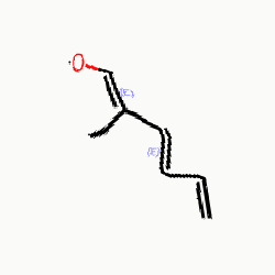 C=C/C=C/C(C)=C/[O]